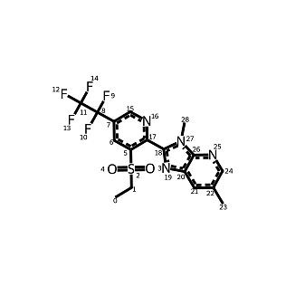 CCS(=O)(=O)c1cc(C(F)(F)C(F)(F)F)cnc1-c1nc2cc(C)cnc2n1C